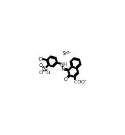 O=C([O-])C1=Cc2ccccc2/C(=N\Nc2ccc(Cl)c(S(=O)(=O)[O-])c2)C1=O.[Sr+2]